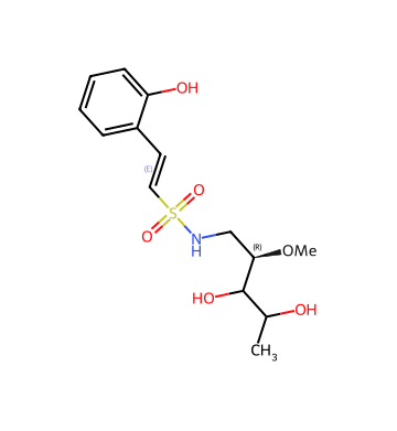 CO[C@H](CNS(=O)(=O)/C=C/c1ccccc1O)C(O)C(C)O